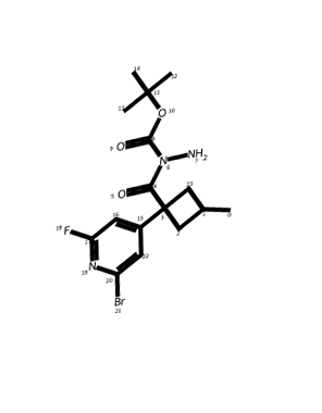 CC1CC(C(=O)N(N)C(=O)OC(C)(C)C)(c2cc(F)nc(Br)c2)C1